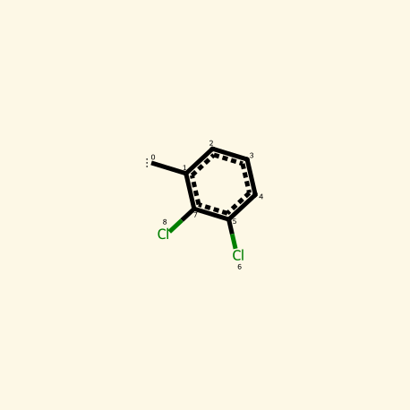 [C]c1cccc(Cl)c1Cl